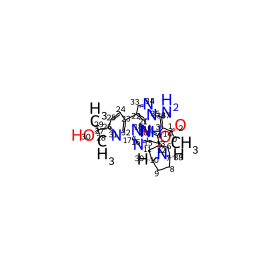 CC(=O)c1c(C2C[C@H]3CC[C@@H](C2)N3C(=O)c2ncn[nH]2)nc2c(-c3ccc(C(C)(C)O)nc3)cnn2c1N